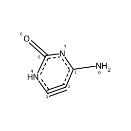 Nc1c#c[nH]c(=O)n1